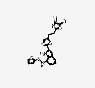 CN(Sc1cccs1)c1cccc2cc(-c3ncc(CCc4n[nH]c(=O)o4)s3)[nH]c12